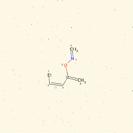 C=NOC(=C)/C=C\CC